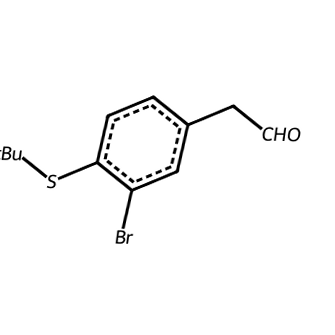 CC(C)(C)Sc1ccc(CC=O)cc1Br